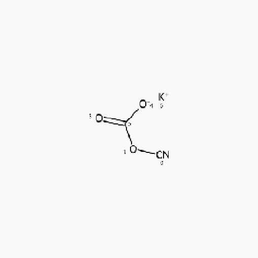 N#COC(=O)[O-].[K+]